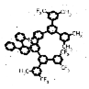 Cc1cc(C)cc(-c2cc(-c3cc(C)cc(C(F)(F)F)c3)cc(-c3ccc4c(c3)c3cc(-c5cc(-c6cc(C)cc(C(F)(F)F)c6)cc(-c6cc(C(F)(F)F)cc(C(F)(F)F)c6)c5)ccc3n4-c3ccccc3-c3ccccc3-c3ccccc3)c2)c1